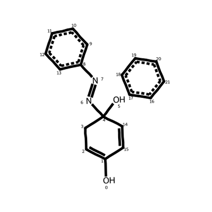 OC1=CCC(O)(/N=N/c2ccccc2)C=C1.c1ccccc1